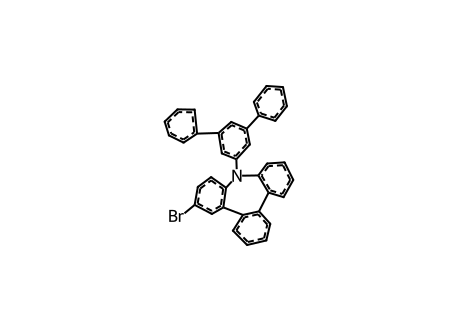 Brc1ccc2c(c1)-c1ccccc1-c1ccccc1N2c1cc(-c2ccccc2)cc(-c2ccccc2)c1